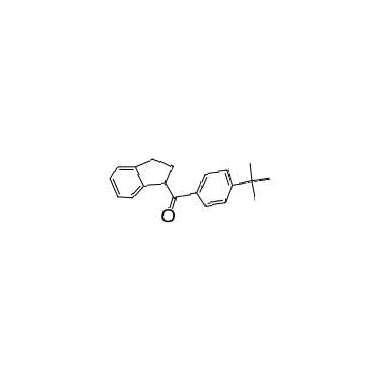 CC(C)(C)c1ccc(C(=O)C2CCc3ccccc32)cc1